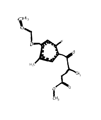 COCOc1cc(F)c(C(=O)C(C)CC(=O)OC)cc1C